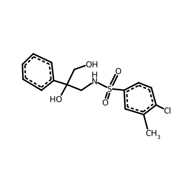 Cc1cc(S(=O)(=O)NCC(O)(CO)c2ccccc2)ccc1Cl